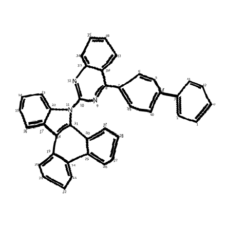 c1ccc(-c2ccc(-c3nc(-n4c5ccccc5c5c6ccccc6c6ccccc6c54)nc4ccccc34)cc2)cc1